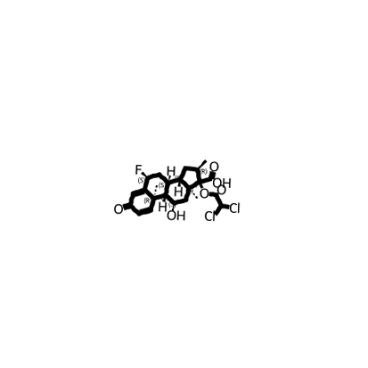 C[C@@H]1C[C@H]2[C@@H]3C[C@H](F)C4=CC(=O)C=C[C@]4(C)[C@H]3[C@@H](O)C[C@]2(C)[C@@]1(OC(=O)C(Cl)Cl)C(=O)O